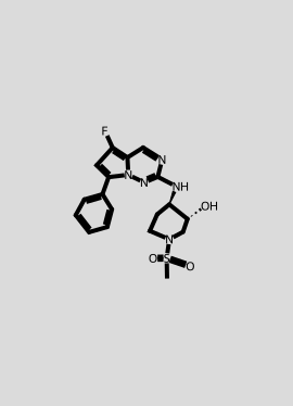 CS(=O)(=O)N1CC[C@@H](Nc2ncc3c(F)cc(-c4ccccc4)n3n2)[C@H](O)C1